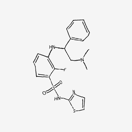 CN(C)CC(Nc1cccc(S(=O)(=O)Nc2nccs2)c1F)c1ccccc1